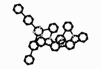 c1ccc(-c2ccc(-c3nc(-c4ccc(-c5ccccc5)cc4)nc(-c4ccccc4-n4c5ccccc5c5ccc6c7ccc8c9ccccc9n(-c9ccccc9-c9ccccc9)c8c7sc6c54)n3)cc2)cc1